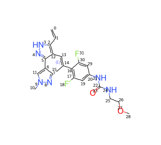 C=Cc1[nH]nc(-c2cnn(C)c2)c1/C=C(\C)c1c(F)cc(NC(=O)NCCOC)cc1F